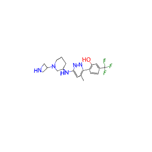 Cc1cc(N[C@@H]2CCCN(C3CNC3)C2)nnc1-c1ccc(C(F)(F)F)cc1O